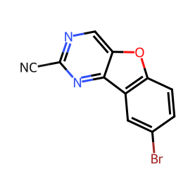 N#Cc1ncc2oc3ccc(Br)cc3c2n1